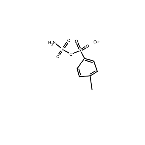 Cc1ccc(S(=O)(=O)OS(N)(=O)=O)cc1.[Co]